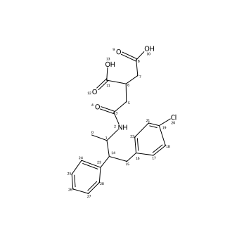 CC(NC(=O)CC(CC(=O)O)C(=O)O)C(Cc1ccc(Cl)cc1)c1ccccc1